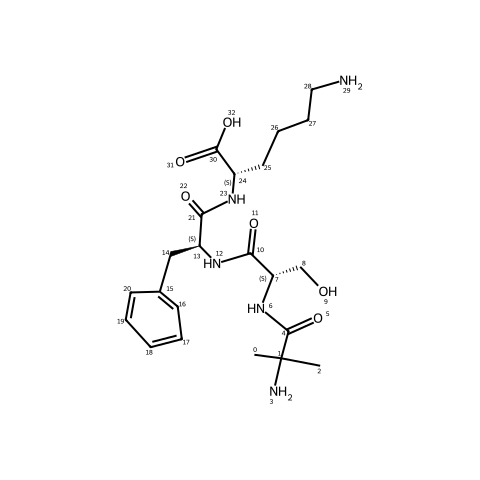 CC(C)(N)C(=O)N[C@@H](CO)C(=O)N[C@@H](Cc1ccccc1)C(=O)N[C@@H](CCCCN)C(=O)O